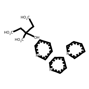 O=C(O)CC(O)(CC(=O)O)C(=O)O.c1ccncc1.c1ccncc1.c1ccncc1